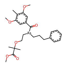 COC(=O)C(C)(C)OCC[As](CCCc1ccccc1)C(=O)c1cc(OC)c(C)c(OC)c1